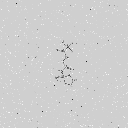 CCC(C)(C)C(=O)OCC(=O)OC1(C(C)C)CCOC1